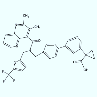 Cc1nc2cccnc2c(C(=O)N(Cc2ccc(-c3cccc(C4(C(=O)O)CC4)c3)cc2)Cc2ccc(C(F)(F)F)o2)c1C